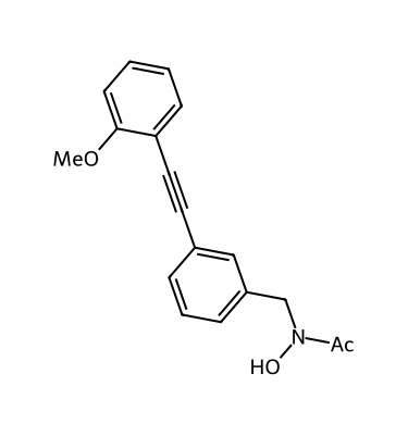 COc1ccccc1C#Cc1cccc(CN(O)C(C)=O)c1